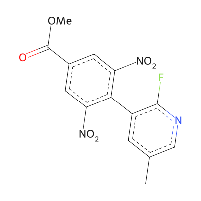 COC(=O)c1cc([N+](=O)[O-])c(-c2cc(C)cnc2F)c([N+](=O)[O-])c1